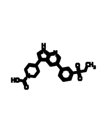 CCS(=O)(=O)c1cccc(-c2cnc3[nH]cc(C4=CCN(C(=O)O)CC4)c3c2)c1